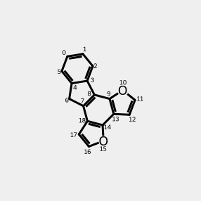 c1ccc2c(c1)Cc1c-2c2occc2c2occc12